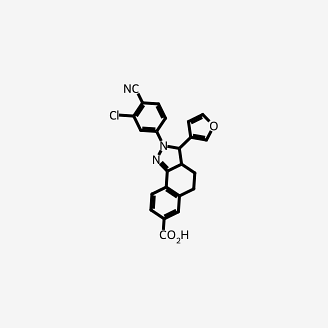 N#Cc1ccc(N2N=C3c4ccc(C(=O)O)cc4CCC3C2c2ccoc2)cc1Cl